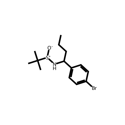 CCCC(N[S+]([O-])C(C)(C)C)c1ccc(Br)cc1